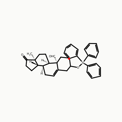 C[C@]12CC[C@@H]3[C@@H](CC=C4CC(O[Si](c5ccccc5)(c5ccccc5)c5ccccc5)CC[C@@]43C=O)[C@@H]1CCC2=O